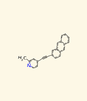 Cc1cc(C#Cc2ccc3cc4ccccc4cc3c2)ccn1